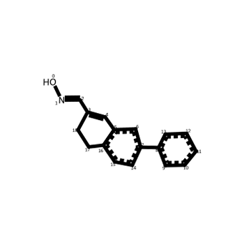 O/N=C/C1=Cc2cc(-c3ccccc3)ccc2CC1